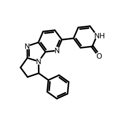 O=c1cc(-c2ccc3nc4n(c3n2)C(c2ccccc2)CC4)cc[nH]1